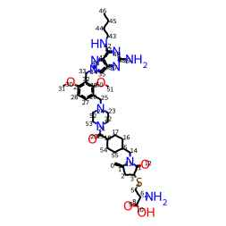 C=C1CC(SC[C@H](N)C(=O)O)C(=O)N1CC1CCC(C(=O)N2CCN(Cc3ccc(OC)c(Cn4cc5nc(N)nc(NCCCC)c5n4)c3OC)CC2)CC1